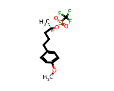 COc1ccc(CCC[C@H](C)OS(=O)(=O)C(F)(F)F)cc1